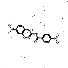 O=C(NC(=S)Nc1ccc([N+](=O)[O-])cc1O)c1ccc([N+](=O)[O-])cc1